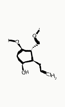 C=CC[C@@H]1[C@@H](COI)[C@H](OI)C[C@@H]1O